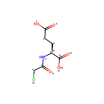 O=C(O)CC[C@H](NC(=O)CCl)C(=O)O